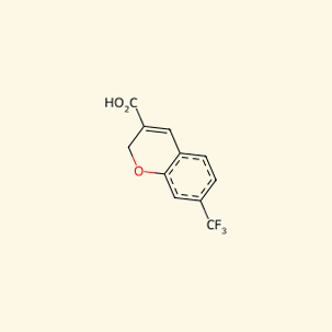 O=C(O)C1=Cc2ccc(C(F)(F)F)cc2OC1